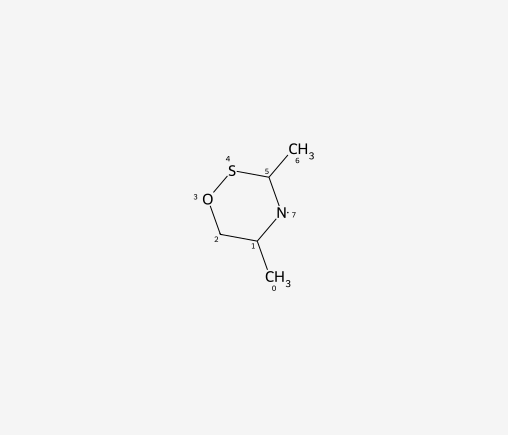 CC1COSC(C)[N]1